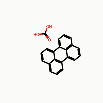 O=C(O)O.c1cc2cccc3c4cccc5cccc(c(c1)c23)c54